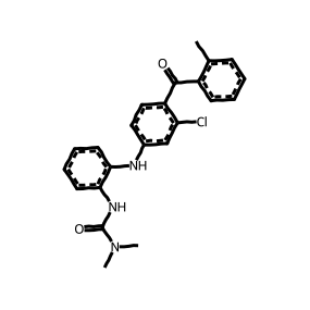 Cc1ccccc1C(=O)c1ccc(Nc2ccccc2NC(=O)N(C)C)cc1Cl